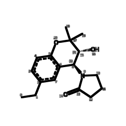 CCc1ccc2c(c1)[C@H](N1CCCC1=O)[C@@H](O)C(C)(C)O2